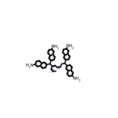 C\C=C/C(=C\C=C/CC(c1ccc2cc(N)ccc2c1)c1ccc2cc(N)ccc2c1)C(c1ccc2cc(N)ccc2c1)c1ccc2cc(N)ccc2c1